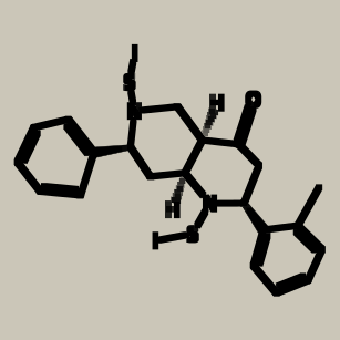 Cc1ccccc1[C@@H]1CC(=O)[C@@H]2CN(SI)[C@H](c3ccccc3)C[C@@H]2N1SI